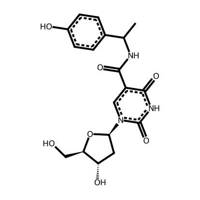 CC(NC(=O)c1cn([C@H]2C[C@H](O)[C@@H](CO)O2)c(=O)[nH]c1=O)c1ccc(O)cc1